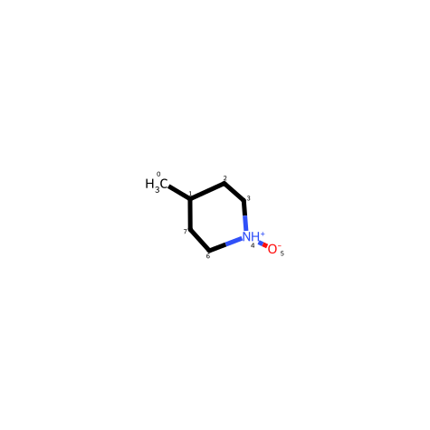 CC1CC[NH+]([O-])CC1